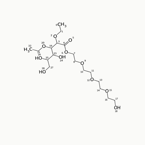 CCOC(C(=O)OCCOCCOCCOCCO)C(OCC)C(O)C(O)CO